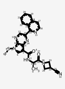 C[C@@H](NC(=O)c1cn(SF)c2ncc(-c3nccc4ccccc34)nc12)C(=O)N1CC(C#N)C1